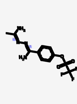 C/C(N)=N/N=C(\N)c1ccc(OS(=O)(=O)C(F)(F)F)cc1